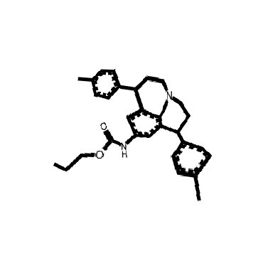 CCCOC(=O)Nc1cc2c3c(c1)C(c1ccc(C)cc1)CCN3CCC2c1ccc(C)cc1